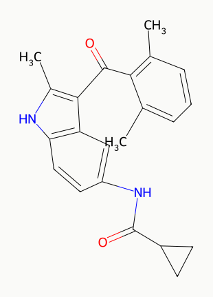 Cc1cccc(C)c1C(=O)c1c(C)[nH]c2ccc(NC(=O)C3CC3)cc12